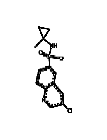 CC1(NS(=O)(=O)c2ccc3ncc(Cl)cc3c2)CC1